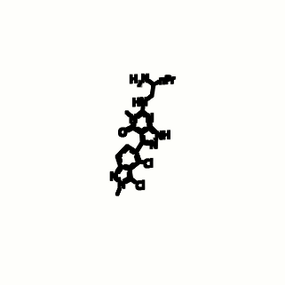 CCC[C@H](N)CNc1nc2[nH]nc(-c3ccc4nn(C)c(Cl)c4c3Cl)c2c(=O)n1C